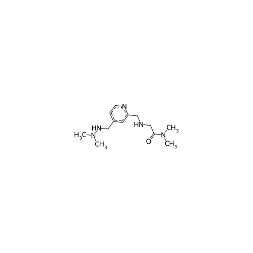 CN(C)NCc1ccnc(CNCC(=O)N(C)C)c1